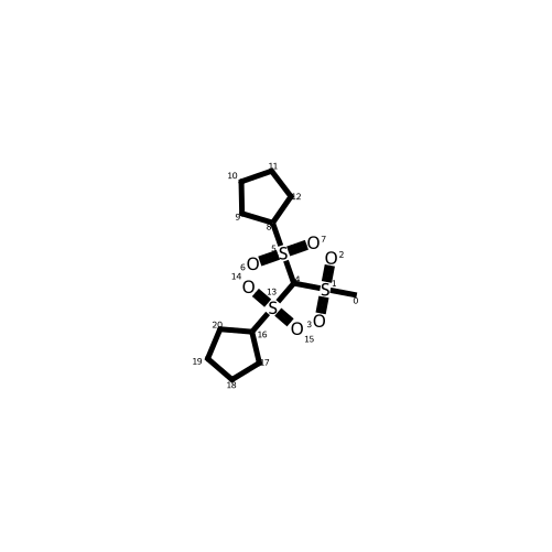 CS(=O)(=O)C(S(=O)(=O)C1CCCC1)S(=O)(=O)C1CCCC1